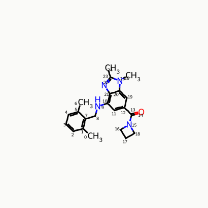 Cc1cccc(C)c1CNc1cc(C(=O)N2CCC2)cc2c1nc(C)n2C